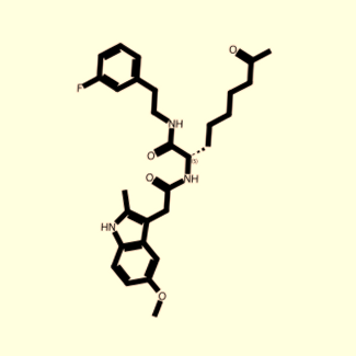 COc1ccc2[nH]c(C)c(CC(=O)N[C@@H](CCCCCC(C)=O)C(=O)NCCc3cccc(F)c3)c2c1